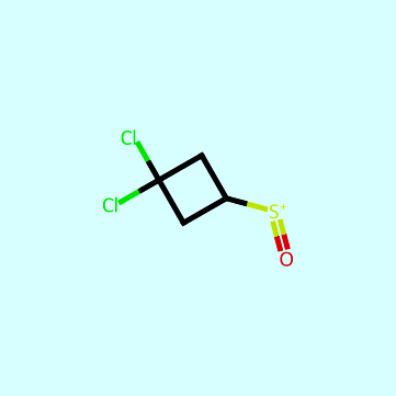 O=[S+]C1CC(Cl)(Cl)C1